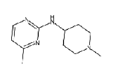 Cc1ccnc(NC2CCN(C)CC2)n1